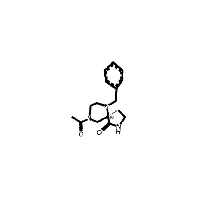 CC(=O)N1CCN(Cc2ccccc2)[C@]2(CCNC2=O)C1